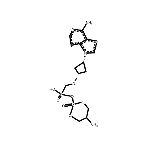 CC1COP(=O)(OP(=O)(O)CO[C@H]2C[C@@H](n3cnc4c(N)ncnc43)C2)OC1